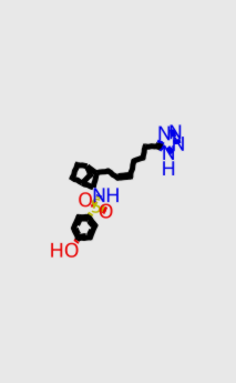 O=S(=O)(NC1C2CCC(C2)C1C/C=C\CCCc1nnn[nH]1)c1ccc(O)cc1